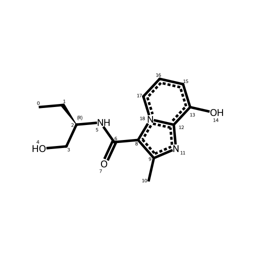 CC[C@H](CO)NC(=O)c1c(C)nc2c(O)cccn12